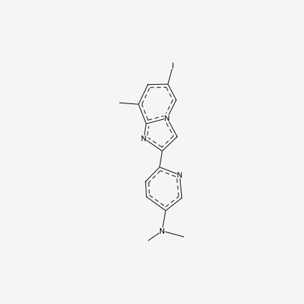 Cc1cc(I)cn2cc(-c3ccc(N(C)C)cn3)nc12